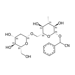 C[C@@H]1[C@@H](O)[C@H](OC(C#N)c2ccccc2)O[C@H](CO[C@H]2C[C@@H](O)[C@H](O)[C@@H](CO)O2)[C@H]1O